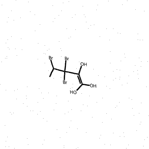 CC(Br)C(Br)(Br)C(O)=C(O)O